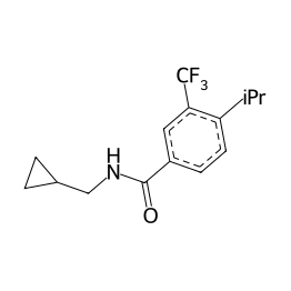 CC(C)c1ccc(C(=O)NCC2CC2)cc1C(F)(F)F